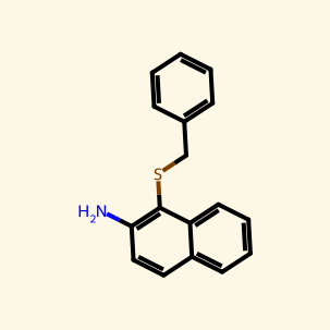 Nc1ccc2ccccc2c1SCc1ccccc1